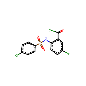 O=C(Cl)c1cc(Cl)ccc1NS(=O)(=O)c1ccc(Cl)cc1